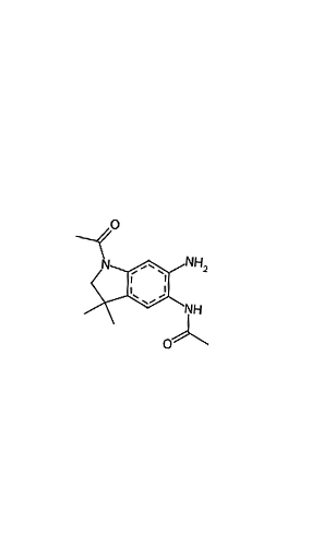 CC(=O)Nc1cc2c(cc1N)N(C(C)=O)CC2(C)C